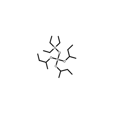 CCC(C)[O][Ti]([O]C(C)CC)([O]C(C)CC)[O][Si](CC)(CC)CC